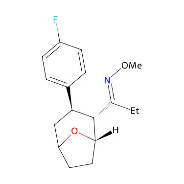 CCC(=NOC)[C@@H]1[C@@H]2CCC(C[C@H]1c1ccc(F)cc1)O2